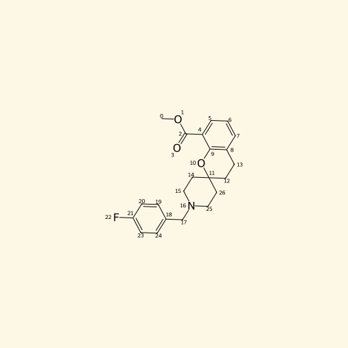 COC(=O)c1cccc2c1OC1(CC2)CCN(Cc2ccc(F)cc2)CC1